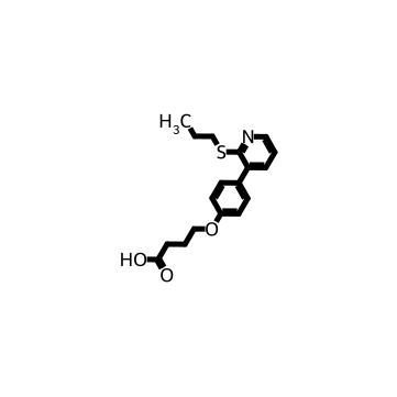 CCCSc1ncccc1-c1ccc(OCCCC(=O)O)cc1